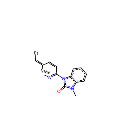 CC\C=C(/C=C\C(=N/C)n1c(=O)n(C)c2ccccc21)NC